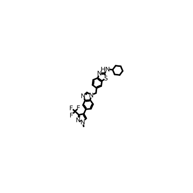 Cn1cc(-c2ccc3c(c2)ncn3Cc2ccc3nc(NC4CCCCC4)sc3c2)c(C(F)(F)F)n1